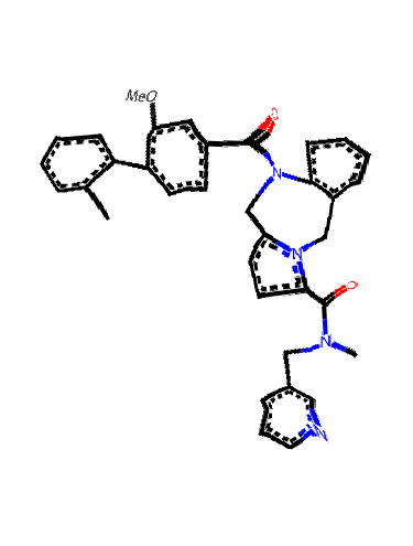 COc1cc(C(=O)N2Cc3ccc(C(=O)N(C)Cc4cccnc4)n3Cc3ccccc32)ccc1-c1ccccc1C